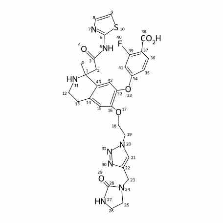 CC1(CC(=O)Nc2nccs2)NCCc2cc(OCCn3cc(CN4CCNC4=O)nn3)c(Oc3ccc(C(=O)O)c(F)c3)cc21